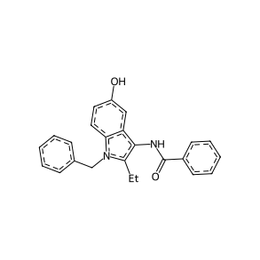 CCc1c(NC(=O)c2ccccc2)c2cc(O)ccc2n1Cc1ccccc1